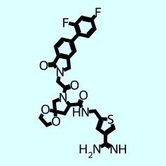 N=C(N)c1csc(CNC(=O)C2CC3(CN2C(=O)CN2Cc4cc(-c5ccc(F)cc5F)ccc4C2=O)OCCO3)c1